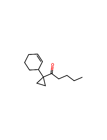 CCCCC(=O)C1(C2C=CCCC2)CC1